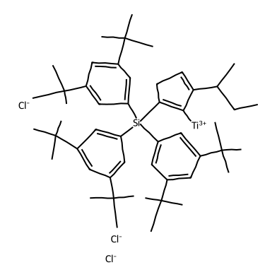 CCC(C)C1=CCC([Si](c2cc(C(C)(C)C)cc(C(C)(C)C)c2)(c2cc(C(C)(C)C)cc(C(C)(C)C)c2)c2cc(C(C)(C)C)cc(C(C)(C)C)c2)=[C]1[Ti+3].[Cl-].[Cl-].[Cl-]